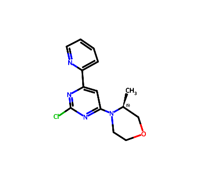 C[C@H]1COCCN1c1cc(-c2ccccn2)nc(Cl)n1